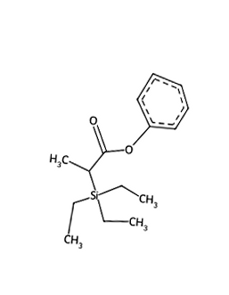 CC[Si](CC)(CC)C(C)C(=O)Oc1ccccc1